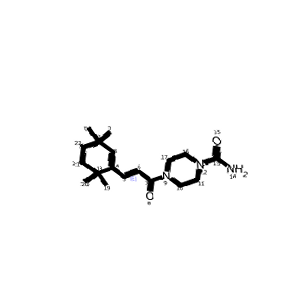 CC1(C)C=C(/C=C/C(=O)N2CCN(C(N)=O)CC2)C(C)(C)CC1